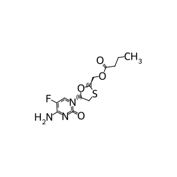 CCCC(=O)OC[C@@H]1O[C@@H](n2cc(F)c(N)nc2=O)CS1